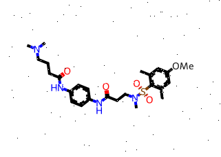 COc1cc(C)c(S(=O)(=O)N(C)CCC(=O)Nc2ccc(NC(=O)CCCN(C)C)cc2)c(C)c1